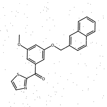 COc1cc(OCc2ccc3ccccc3c2)cc(C(=O)c2nccs2)c1